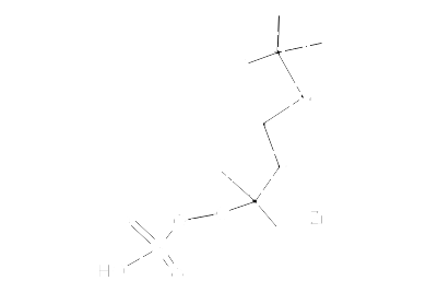 CC(C)(C)CCCC(C)(C)COS(=O)(O)=S.[Zr]